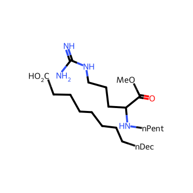 CCCCCCCCCCCCCCCCCC(=O)O.CCCCCNC(CCCNC(=N)N)C(=O)OC